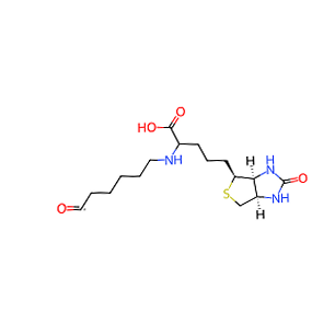 O=[C]CCCCCNC(CCC[C@@H]1SC[C@@H]2NC(=O)N[C@@H]21)C(=O)O